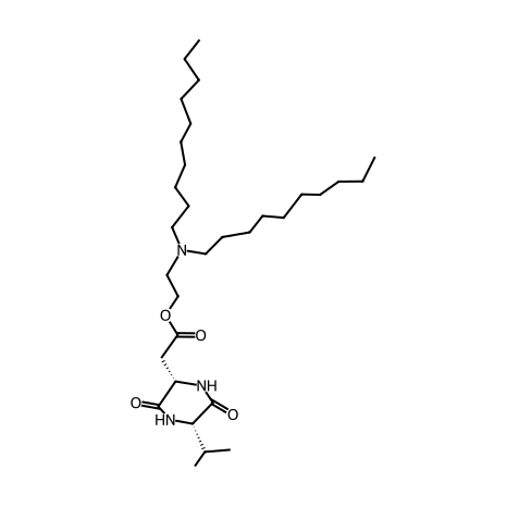 CCCCCCCCCCN(CCCCCCCCCC)CCOC(=O)C[C@@H]1NC(=O)[C@H](C(C)C)NC1=O